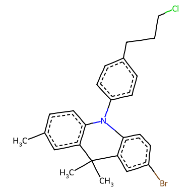 Cc1ccc2c(c1)C(C)(C)c1cc(Br)ccc1N2c1ccc(CCCCl)cc1